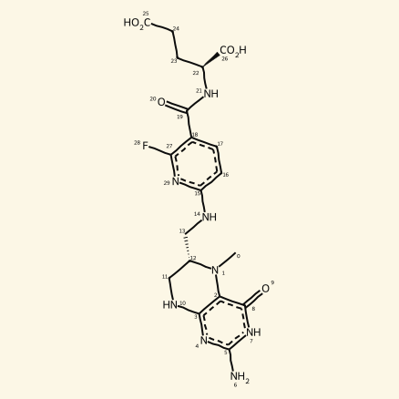 CN1c2c(nc(N)[nH]c2=O)NC[C@@H]1CNc1ccc(C(=O)N[C@@H](CCC(=O)O)C(=O)O)c(F)n1